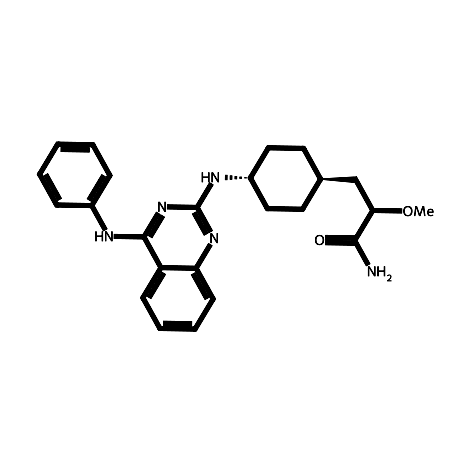 COC(C[C@H]1CC[C@H](Nc2nc(Nc3ccccc3)c3ccccc3n2)CC1)C(N)=O